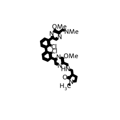 CNCc1ncc(-c2cccc(-c3cccc(-c4cnc(CNCC5CCN(C)C5=O)c(OC)n4)c3Cl)c2Cl)nc1OC